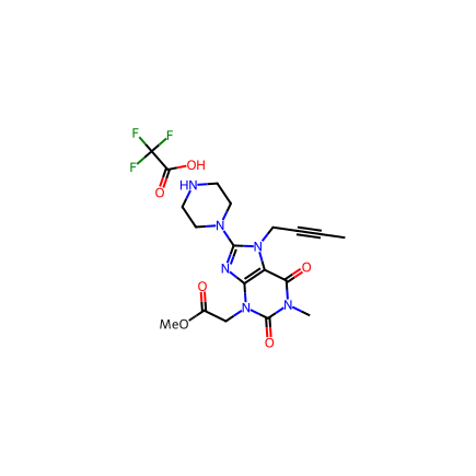 CC#CCn1c(N2CCNCC2)nc2c1c(=O)n(C)c(=O)n2CC(=O)OC.O=C(O)C(F)(F)F